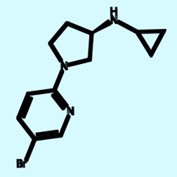 Brc1ccc(N2CC[C@@H](NC3CC3)C2)nc1